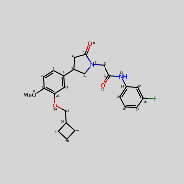 COc1ccc(C2CC(=O)N(CC(=O)Nc3cccc(F)c3)C2)cc1OCC1CCC1